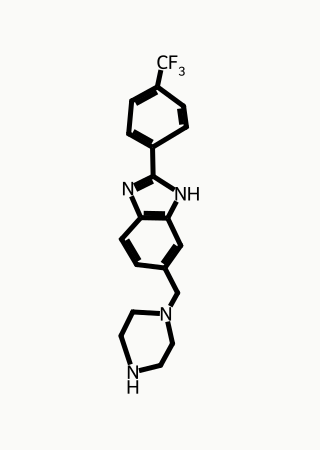 FC(F)(F)c1ccc(-c2nc3ccc(CN4CCNCC4)cc3[nH]2)cc1